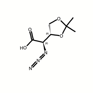 CC1(C)OC[C@@H]([C@@H](N=[N+]=[N-])C(=O)O)O1